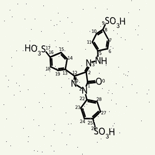 O=C1C(=NNc2ccc(S(=O)(=O)O)cc2)C(c2ccc(S(=O)(=O)O)cc2)=NN1c1ccc(S(=O)(=O)O)cc1